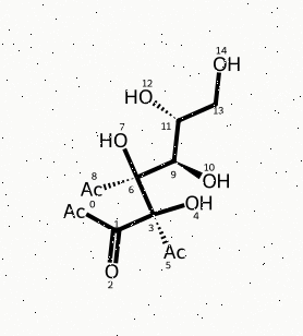 CC(=O)C(=O)[C@@](O)(C(C)=O)[C@](O)(C(C)=O)[C@H](O)[C@H](O)CO